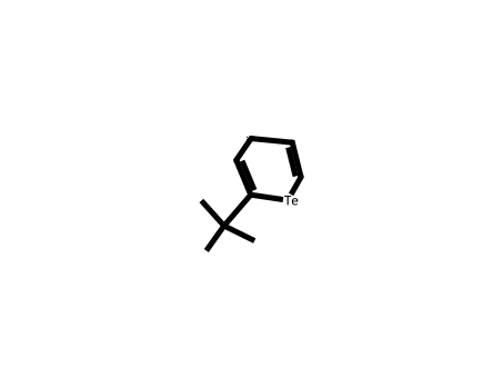 CC(C)(C)C1=C[C]C=C[Te]1